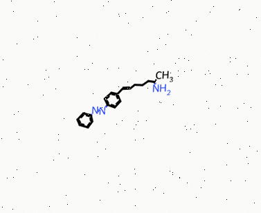 C[C@@H](N)CCC/C=C/c1ccc(/N=N/c2ccccc2)cc1